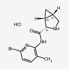 Cc1ccc(Br)nc1NC(=O)[C@H]1NC[C@H]2C[C@H]21.Cl